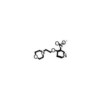 O=[N+]([O-])c1cnccc1OCCN1CCOCC1